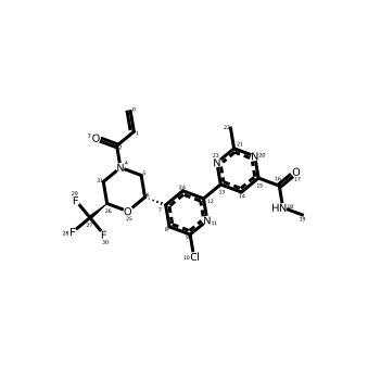 C=CC(=O)N1C[C@H](c2cc(Cl)nc(-c3cc(C(=O)NC)nc(C)n3)c2)O[C@@H](C(F)(F)F)C1